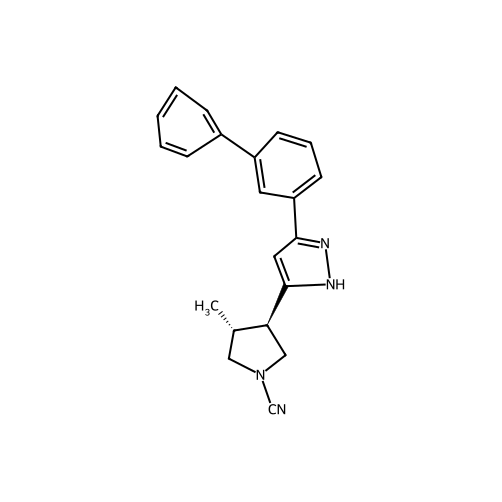 C[C@H]1CN(C#N)C[C@@H]1c1cc(-c2cccc(-c3ccccc3)c2)n[nH]1